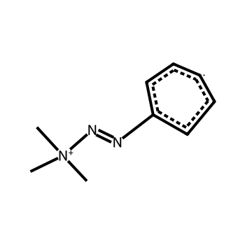 C[N+](C)(C)N=Nc1cc[c]cc1